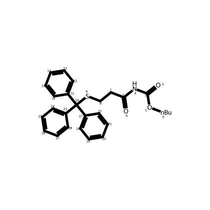 CCCCOC(=O)NC(=O)CCSC(c1ccccc1)(c1ccccc1)c1ccccc1